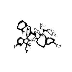 CC(C)N1C(=O)C(NC(=O)C(Cc2ccccc2F)NC(=O)c2ccc(F)cc2C(F)(F)F)CCCc2cc(Cl)ccc21